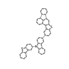 c1ccc2c(c1)-c1cccc3c1c-2cc1sc2ccc(-c4ccc5c(c4)c4ccccc4n5-c4ccc5sc6ccccc6c5c4)cc2c13